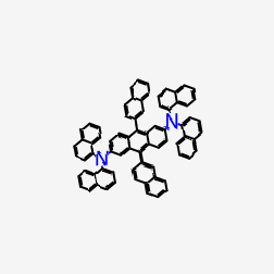 c1ccc2cc(-c3c4ccc(N(c5cccc6ccccc56)c5cccc6ccccc56)cc4c(-c4ccc5ccccc5c4)c4ccc(N(c5cccc6ccccc56)c5cccc6ccccc56)cc34)ccc2c1